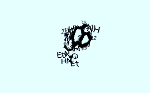 CCNC(=O)N(CC)C1C[C@@H]2c3cccc4[nH]cc(c34)C[C@H]2N(C)C1